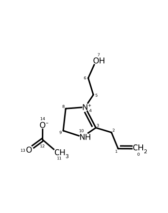 C=CCC1=[N+](CCO)CCN1.CC(=O)[O-]